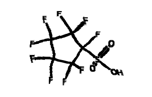 O=S(=O)(O)C1(F)C(F)(F)C(F)(F)C(F)(F)C1(F)F